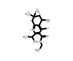 CCOC(=O)c1c(C(C)C)nc2c(c1I)C(O)CC(C)(C)C2